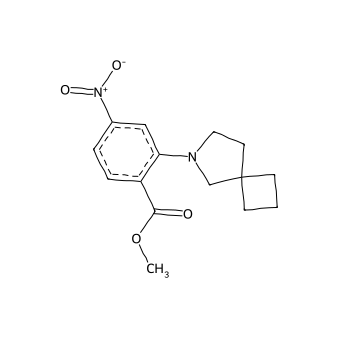 COC(=O)c1ccc([N+](=O)[O-])cc1N1CCC2(CCC2)C1